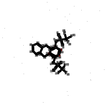 O=S(=O)(Oc1ccc(OS(=O)(=O)C(F)(F)F)c2c1C1c3ccccc3C2c2ccccc21)C(F)(F)F